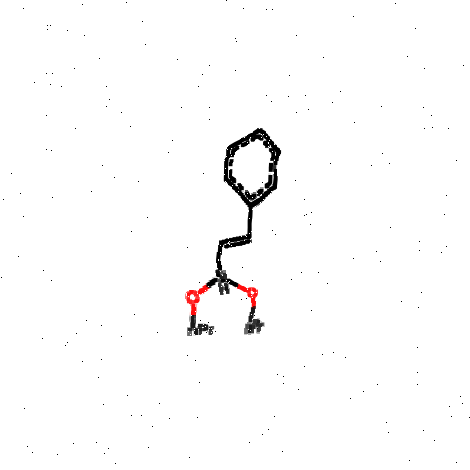 CCCO[SiH](C=Cc1ccccc1)OCCC